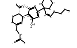 C=C(C)[C@H]1CCC(COC(C)=O)=C[C@@H]1c1c(O)cc(C2(/C=C\CCCC)CCOCC2)cc1O